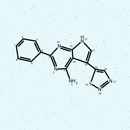 Nc1nc(-c2ccccc2)nc2[nH]cc(-c3cnns3)c12